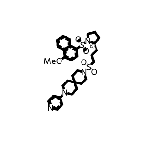 COc1ccc(S(=O)(=O)N2CCC[C@H]2CCCS(=O)(=O)N2CCC3(CCN(c4ccncc4)CC3)CC2)c2ccccc12